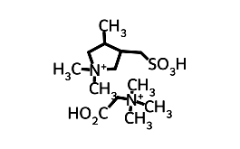 CC1C[N+](C)(C)CC1CS(=O)(=O)O.C[N+](C)(C)CC(=O)O